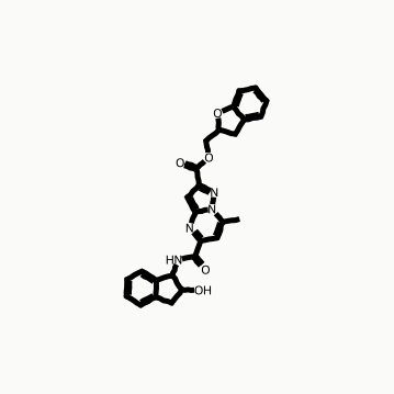 Cc1cc(C(=O)NC2c3ccccc3CC2O)nc2cc(C(=O)OCC3Cc4ccccc4O3)nn12